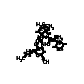 C#CCCC(NC(=O)[C@@H]1[C@H]2CCC(C)(C)[C@H]2CN1C(=O)[C@@H](N)C1CCCCC1)C(=O)C(=O)NCC=C